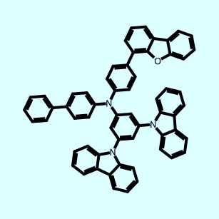 c1ccc(-c2ccc(N(c3ccc(-c4cccc5c4oc4ccccc45)cc3)c3cc(-n4c5ccccc5c5ccccc54)cc(-n4c5ccccc5c5ccccc54)c3)cc2)cc1